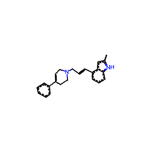 Cc1cc2c(C=CCN3CC=C(c4ccccc4)CC3)cccc2[nH]1